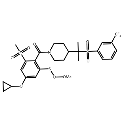 COOSc1cc(OC2CC2)cc(S(C)(=O)=O)c1C(=O)N1CCC(C(C)(C)S(=O)(=O)c2cccc(C(F)(F)F)c2)CC1